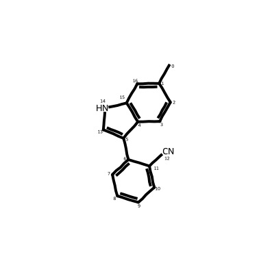 Cc1ccc2c(-c3ccccc3C#N)c[nH]c2c1